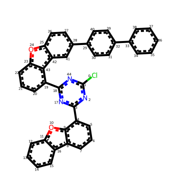 Clc1nc(-c2cccc3c2oc2ccccc23)nc(-c2cccc3oc4ccc(-c5ccc(-c6ccccc6)cc5)cc4c23)n1